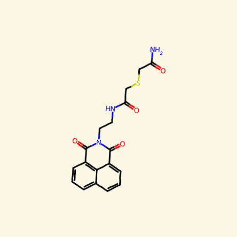 NC(=O)CSCC(=O)NCCN1C(=O)c2cccc3cccc(c23)C1=O